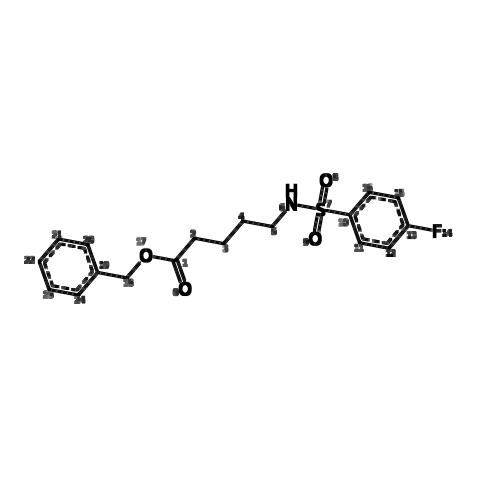 O=C(CCCCNS(=O)(=O)c1ccc(F)cc1)OCc1ccccc1